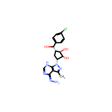 Cc1nn([C@@H]2C[C@H](C(O)c3ccc(Cl)cc3)[C@@H](O)[C@H]2O)c2[nH]cn/c(=N/N)c12